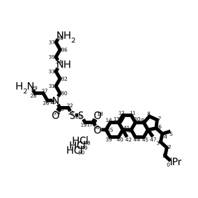 CC(C)CCCC(C)C1CCC2C3CC=C4CC(OC(=O)CSSCC(=O)N(CCCN)CCCCNCCCN)CCC4(C)C3CCC12C.Cl.Cl.Cl